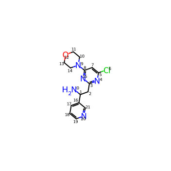 NC(Cc1nc(Cl)cc(N2CCOCC2)n1)c1cccnc1